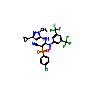 Cn1nc(C2CC2)cc1NC(Nc1cc(C(F)(F)F)cc(C(F)(F)F)c1)=C(C#N)S(=O)(=O)c1ccc(Cl)cc1